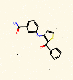 NC(=O)c1cccc(Nc2ccsc2C(=O)c2ccccc2)c1